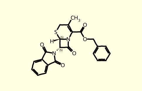 CC1=C(C(=O)OCc2ccccc2)N2C(=O)[C@H](N3C(=O)c4ccccc4C3=O)[C@@H]2SC1